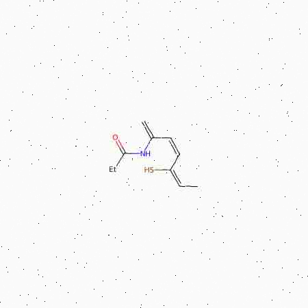 C=C(/C=C\C(S)=C/C)NC(=O)CC